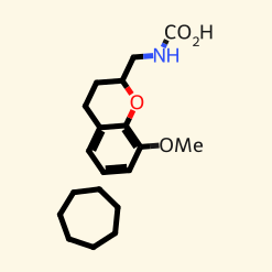 C1CCCCCC1.COc1cccc2c1OC(CNC(=O)O)CC2